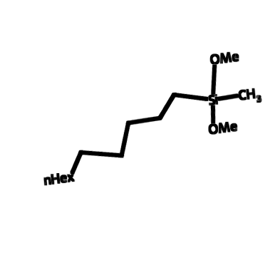 CCCCCCCCCCC[Si](C)(OC)OC